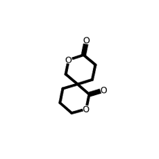 O=C1CCC2(CCCOC2=O)CO1